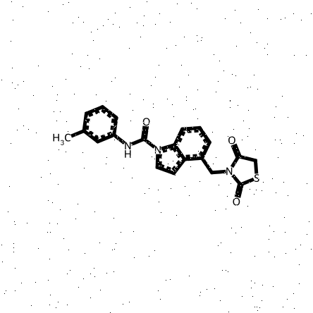 Cc1cccc(NC(=O)n2ccc3c(CN4C(=O)CSC4=O)cccc32)c1